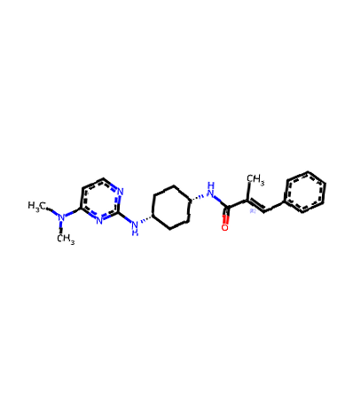 C/C(=C\c1ccccc1)C(=O)N[C@H]1CC[C@@H](Nc2nccc(N(C)C)n2)CC1